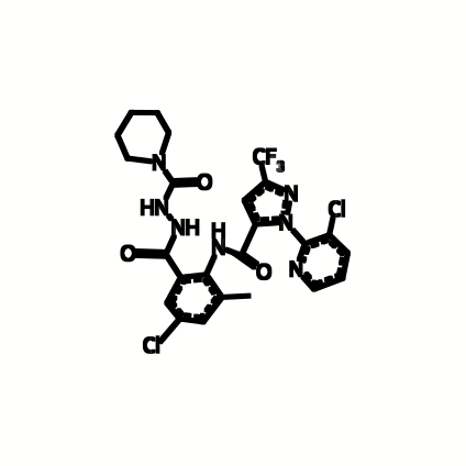 Cc1cc(Cl)cc(C(=O)NNC(=O)N2CCCCC2)c1NC(=O)c1cc(C(F)(F)F)nn1-c1ncccc1Cl